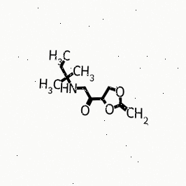 C=C1OCC(C(=O)CNC(C)(C)CC)O1